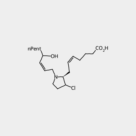 CCCCCC(O)/C=C\CN1CCC(Cl)[C@@H]1C/C=C\CCCC(=O)O